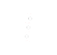 O=C(Oc1ccc(C(=O)OC2CCCCCC2)cc1)c1ccc(C(=O)Oc2ccc(C(=O)OC3CCCCCC3)cc2)cc1